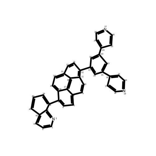 c1cnc2c(-c3ccc4ccc5c(-c6cc(-c7ccncc7)cc(-c7ccncc7)c6)ccc6ccc3c4c65)cccc2c1